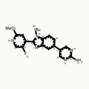 COc1cc(-c2nc3cc(-c4cnc(N)nc4)ccc3n2C(C)(C)C)c(F)cn1